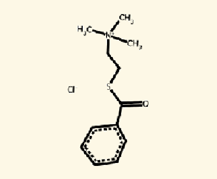 C[N+](C)(C)CCSC(=O)c1ccccc1.[Cl-]